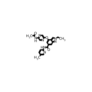 CCn1cc2c(Oc3cnc(NC(C)=O)cn3)cc(C(=O)Nc3ccc(C)cn3)cc2n1